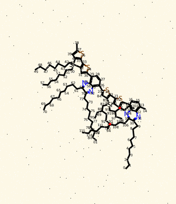 CCCCCCCCCCc1nc2c(C)ccc(-c3cc4c(s3)-c3sc(-c5ccc(-c6cc7c(s6)-c6sc(C)cc6[Si]7(CCCCCCCC)CCCCCCCC)c6nc(CCCCCCCCCC)c(CCCCCCCCCC)nc56)cc3[Si]4(CC(CC)CCCC)CC(CC)CCCC)c2nc1CCCCCCCCCC